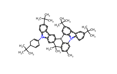 Cc1cc2c3c(c1)C(C)(C)c1cc4c(cc1B3c1cc(C(C)(C)C)cc3c5cc(C(C)(C)C)ccc5n-2c13)c1cc(C(C)(C)C)ccc1n4C1=CCC(C(C)(C)C)C=C1